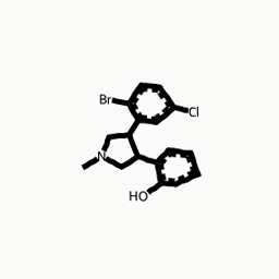 CN1CC(c2ccccc2O)C(c2cc(Cl)ccc2Br)C1